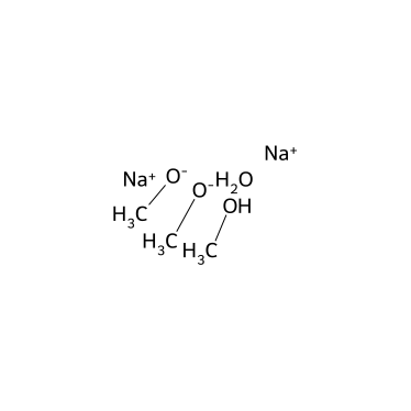 CO.C[O-].C[O-].O.[Na+].[Na+]